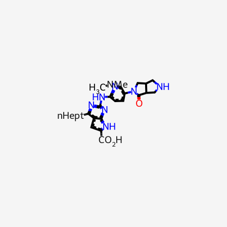 CCCCCCCc1nc(Nc2ccc(N3CC4CNCC4C3=O)cn2)nc2[nH]c(C(=O)O)cc12.CNC